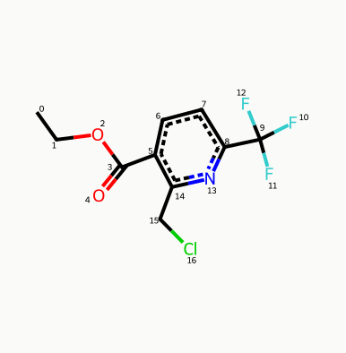 CCOC(=O)c1ccc(C(F)(F)F)nc1CCl